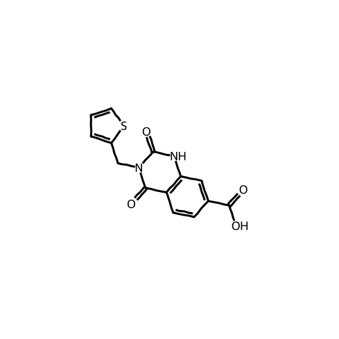 O=C(O)c1ccc2c(=O)n(Cc3cccs3)c(=O)[nH]c2c1